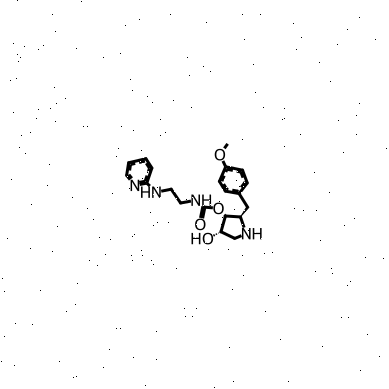 COc1ccc(C[C@H]2NC[C@H](O)[C@H]2OC(=O)NCCNc2ccccn2)cc1